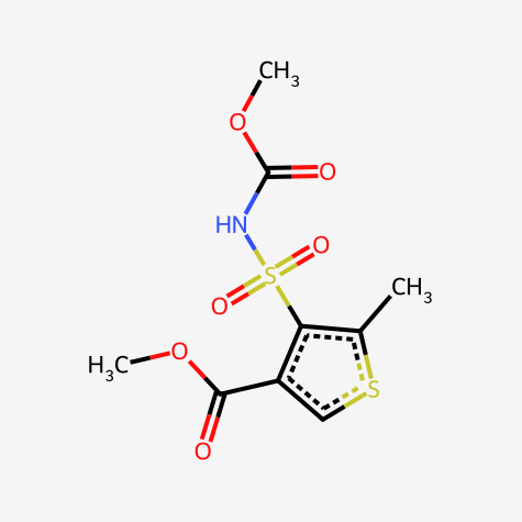 COC(=O)NS(=O)(=O)c1c(C(=O)OC)csc1C